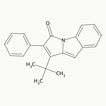 CC(C)(C)C1=C(c2ccccc2)C(=O)n2c1cc1ccccc12